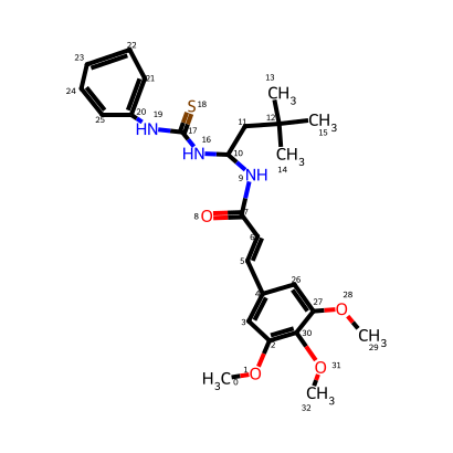 COc1cc(C=CC(=O)NC(CC(C)(C)C)NC(=S)Nc2ccccc2)cc(OC)c1OC